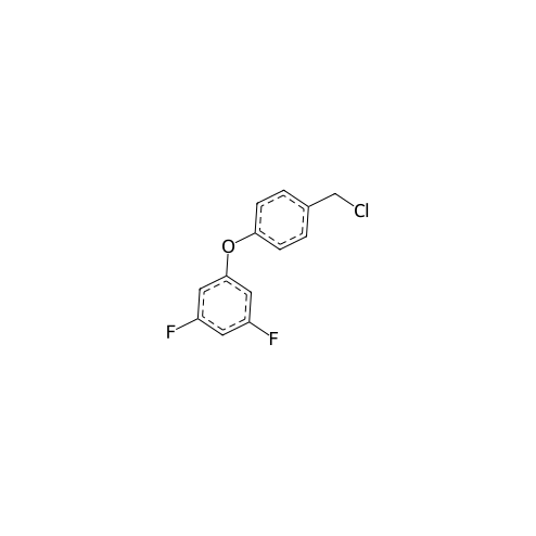 Fc1cc(F)cc(Oc2ccc(CCl)cc2)c1